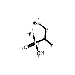 CCC(C)CC(C)P(=O)(O)O